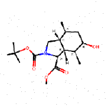 COC(=O)[C@@H]1[C@H]2[C@H](C)[C@H](O)C[C@H](C)[C@H]2CN1C(=O)OC(C)(C)C